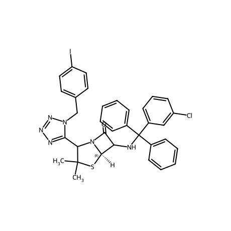 CC1(C)S[C@@H]2C(NC(c3ccccc3)(c3ccccc3)c3cccc(Cl)c3)C(=O)N2C1c1nnnn1Cc1ccc(I)cc1